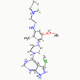 Cc1c(NCCN2CCCC2)cc(OC(C)C)cc1N1CCN(c2ncnc3[nH]nc(Br)c23)CC1